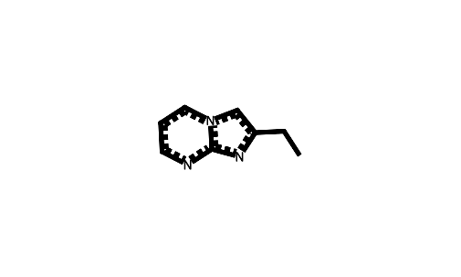 CCc1cn2cccnc2n1